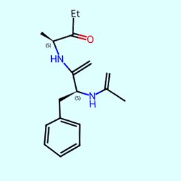 C=C(C)N[C@@H](Cc1ccccc1)C(=C)N[C@@H](C)C(=O)CC